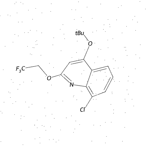 CC(C)(C)Oc1cc(OCC(F)(F)F)nc2c(Cl)cccc12